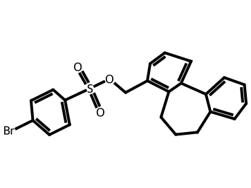 O=S(=O)(OCc1cccc2c1CCCc1ccccc1-2)c1ccc(Br)cc1